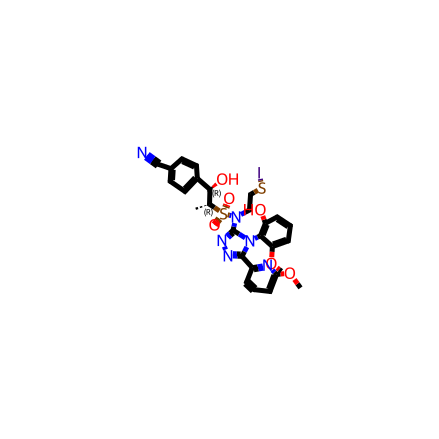 COc1cc#cc(-c2nnc(N(CCSI)S(=O)(=O)[C@H](C)[C@H](O)c3ccc(C#N)cc3)n2-c2c(O)cccc2OC)n1